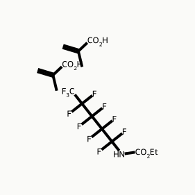 C=C(C)C(=O)O.C=C(C)C(=O)O.CCOC(=O)NC(F)(F)C(F)(F)C(F)(F)C(F)(F)C(F)(F)F